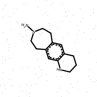 NN1CCc2cc3c(cc2CC1)NCCC3